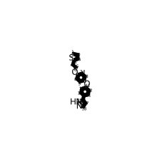 c1csc(CCOc2ccc(Oc3ccc(-c4ccn[nH]4)cc3)cc2)c1